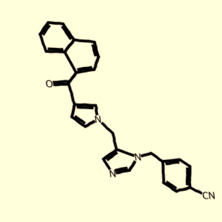 N#Cc1ccc(Cn2cncc2Cn2ccc(C(=O)c3cccc4ccccc34)c2)cc1